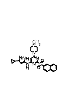 CN1CCN(c2cc(Nc3cc(C4CC4)n[nH]3)nc(S(=O)(=O)c3ccc4ccccc4c3)n2)CC1